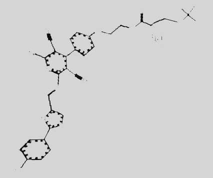 CC(C)(C)OC[C@H](N)C(=O)OCCOc1ccc(-c2c(C#N)c(N)nc(SCc3csc(-c4ccc(Cl)cc4)n3)c2C#N)cc1